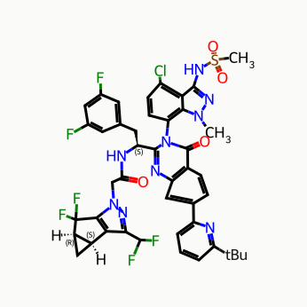 Cn1nc(NS(C)(=O)=O)c2c(Cl)ccc(-n3c([C@H](Cc4cc(F)cc(F)c4)NC(=O)Cn4nc(C(F)F)c5c4C(F)(F)[C@@H]4C[C@H]54)nc4cc(-c5cccc(C(C)(C)C)n5)ccc4c3=O)c21